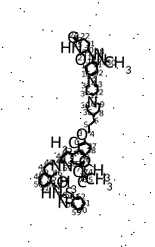 Cc1c(OCCCC2CCN(C3CCN(c4ccc5c(C6CCC(=O)NC6=O)nn(C)c5c4)CC3)CC2)cccc1-c1ccc(N2CCc3cccc(C(=O)Nc4nc5ccccc5s4)c3C2)nc1C(=O)OC(C)(C)C